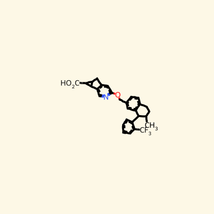 CC1CCc2ccc(COc3cc4c(cn3)C3C(C4)C3C(=O)O)cc2C1c1ccccc1C(F)(F)F